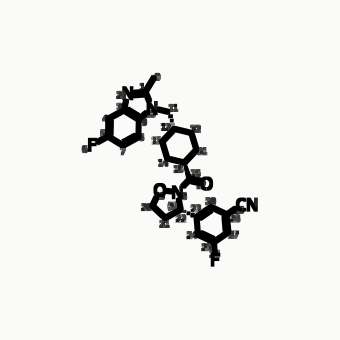 Cc1nc2cc(F)ccc2n1C[C@H]1CC[C@H](C(=O)N2OCC[C@H]2c2cc(F)cc(C#N)c2)CC1